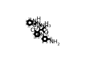 CC1=C(C(=O)Nc2cccc(CN)c2)C(c2ccccc2Cl)N=C(Nc2nc3ccccc3o2)N1